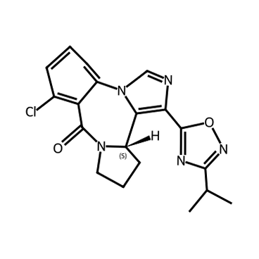 CC(C)c1noc(-c2ncn3c2[C@@H]2CCCN2C(=O)c2c(Cl)cccc2-3)n1